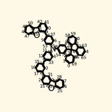 c1ccc(C2(c3ccc(N(c4ccc(-c5cccc(-c6ccc7oc8ccccc8c7c6)c5)cc4)c4ccc(-c5cccc6c5oc5ccccc56)cc4)cc3)c3ccccc3-c3ccccc32)cc1